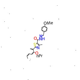 C=C(/C(=C\C=C/C)OCCC)c1nc(C)c(C(=O)N/N=C/c2ccc(OC)cc2)s1